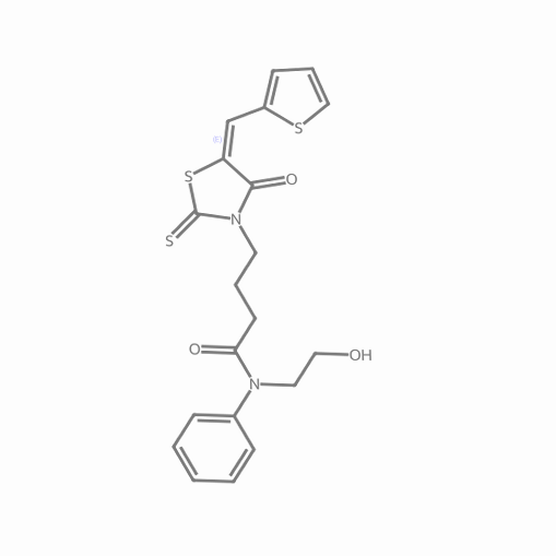 O=C1/C(=C\c2cccs2)SC(=S)N1CCCC(=O)N(CCO)c1ccccc1